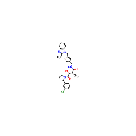 Cc1nc2c(n1Cc1cc(CNC(=O)C(C)C(O)C(=O)N3CCC[C@@H]3c3cccc(Cl)c3)cs1)C=CCC2